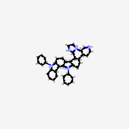 c1ccc(-n2c3ccccc3c3c2ccc2c4c5c(ccc4n(-c4ccccc4)c23)c2ccncc2n2ccnc52)cc1